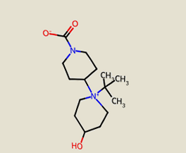 CC(C)(C)[N+]1(C2CCN(C(=O)[O-])CC2)CCC(O)CC1